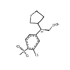 CS(=O)(=O)c1ccc([C@H](C[C]=O)C2CCCC2)cc1Cl